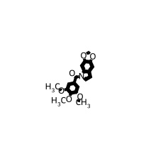 COc1cc(C(=O)n2ccc3cc4c(cc32)OCO4)cc(OC)c1OC